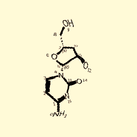 Nc1ccn([C@@H]2O[C@H](CO)CC2=O)c(=O)n1